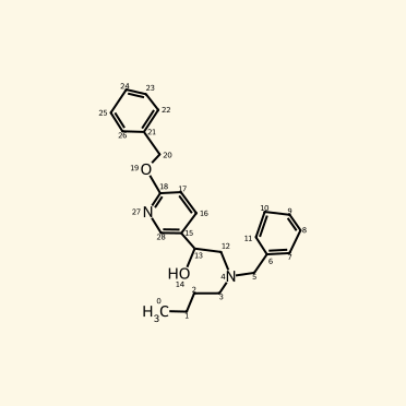 CCCCN(Cc1ccccc1)CC(O)c1ccc(OCc2ccccc2)nc1